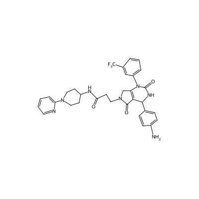 Nc1ccc(C2NC(=O)N(c3cccc(C(F)(F)F)c3)C3=C2C(=O)N(CCC(=O)NC2CCN(c4ccccn4)CC2)C3)cc1